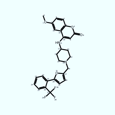 COc1ccc2oc(=O)cc(NC3CCN(Cc4ccc(-c5ccccc5C(F)(F)F)o4)CC3)c2c1